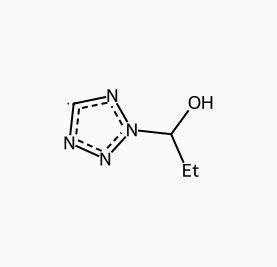 CCC(O)n1n[c]nn1